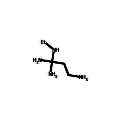 CCNC(N)(N)CCN